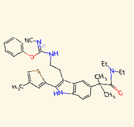 CCN(CC)C(=O)C(C)(C)c1ccc2[nH]c(-c3cc(C)cs3)c(CCN/C(=N/C#N)Oc3ccccc3)c2c1